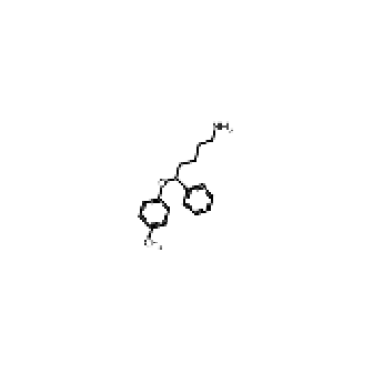 NCCCCC(Oc1ccc(C(F)(F)F)cc1)c1ccccc1